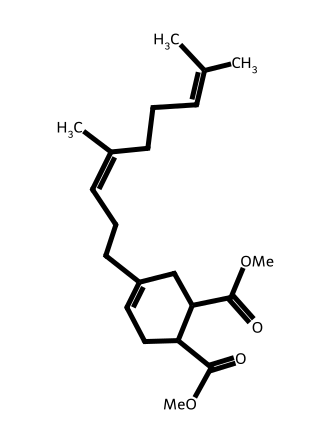 COC(=O)C1CC=C(CCC=C(C)CCC=C(C)C)CC1C(=O)OC